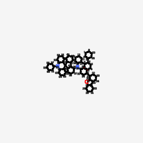 c1ccc(-c2ccccc2-c2ccccc2N(c2ccc(-c3cccc4c3oc3ccccc34)cc2)c2cccc3c2-c2ccccc2C32c3ccccc3N(c3ccccc3)c3ccccc32)cc1